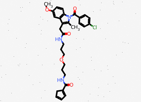 COc1ccc2c(c1)c(CC(=O)NCCCOCCCNC(=O)C1=CC=CC1)c(C)n2C(=O)c1ccc(Cl)cc1